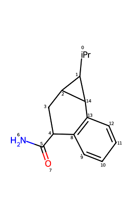 CC(C)C1C2CC(C(N)=O)c3[c]cccc3C21